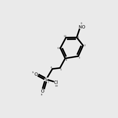 O=Nc1ccc(CCS(=O)(=O)Cl)cc1